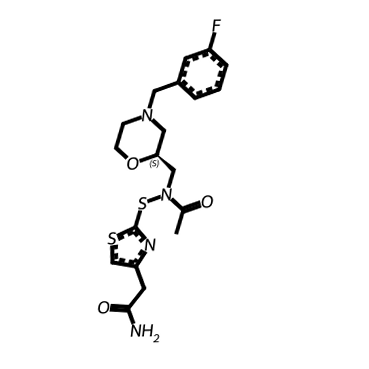 CC(=O)N(C[C@@H]1CN(Cc2cccc(F)c2)CCO1)Sc1nc(CC(N)=O)cs1